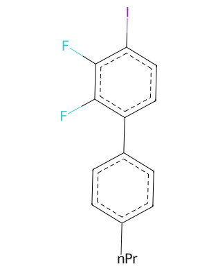 CCCc1ccc(-c2ccc(I)c(F)c2F)cc1